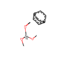 CO[SiH](OC)OC.c1cc2ccc1cc2